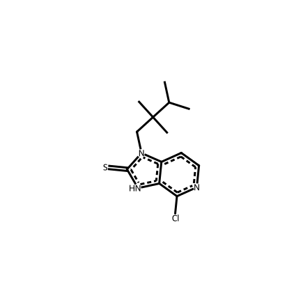 CC(C)C(C)(C)Cn1c(=S)[nH]c2c(Cl)nccc21